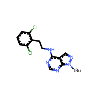 CC(C)(C)n1ncc2c(NCCc3c(Cl)cccc3Cl)ncnc21